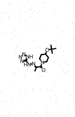 CC(=NNc1nnn[nH]1)C(=O)N1CCC(OC(C)(C)C)CC1